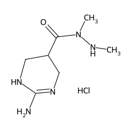 CNN(C)C(=O)C1CN=C(N)NC1.Cl